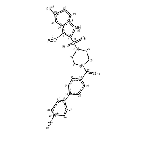 CC(=O)Oc1c(S(=O)(=O)N2CCN(C(=O)c3ccc(-c4cc[n+]([O-])cc4)cc3)CC2)[nH]c2ccc(Cl)cc12